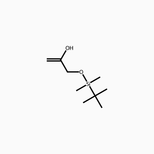 C=C(O)CO[Si](C)(C)C(C)(C)C